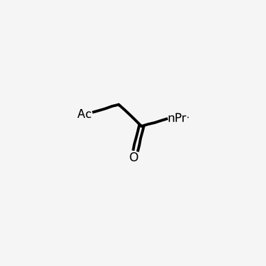 CC[CH]C(=O)CC(C)=O